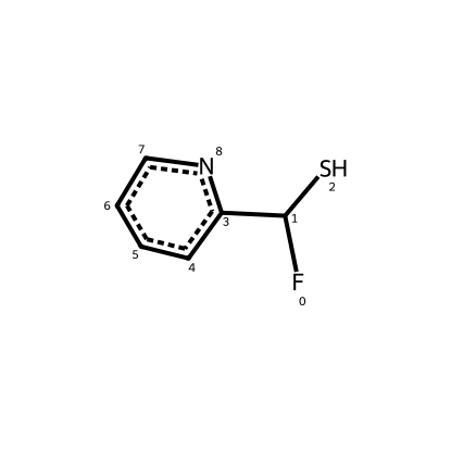 FC(S)c1ccccn1